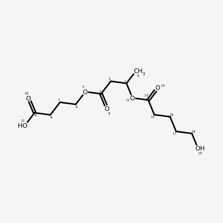 CC(CC(=O)OCCCC(=O)O)OC(=O)CCCCO